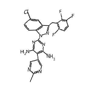 Cc1ncc(-c2c(N)nc(-n3nc(Cc4c(F)ccc(F)c4F)c4cc(Cl)ccc43)nc2N)cn1